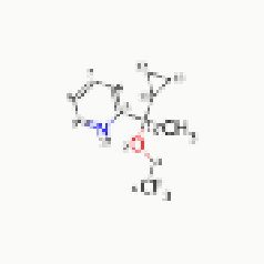 CC(OCC(F)(F)F)(c1ccccn1)C1CC1